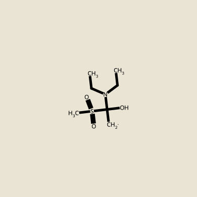 [CH2]C(O)(N(CC)CC)S(C)(=O)=O